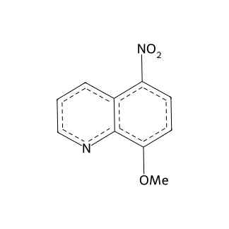 [CH2]Oc1ccc([N+](=O)[O-])c2cccnc12